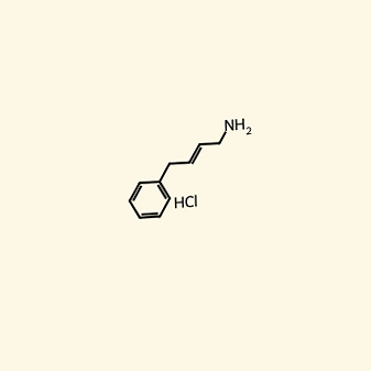 Cl.NCC=CCc1ccccc1